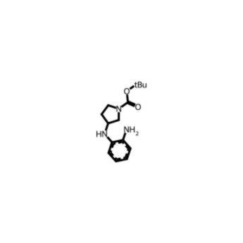 CC(C)(C)OC(=O)N1CCC(Nc2ccccc2N)C1